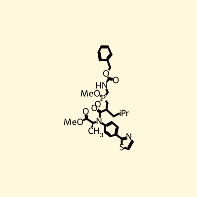 COC(=O)[C@H](C)N(C(=O)C(CC(C)C)CP(=O)(CNC(=O)OCc1ccccc1)OC)c1ccc(-c2nccs2)cc1